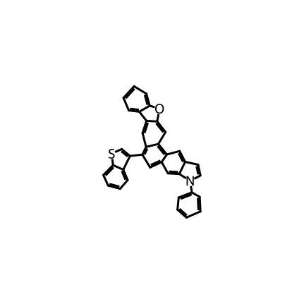 c1ccc(-n2ccc3cc4c(cc(-c5csc6ccccc56)c5cc6c(cc54)oc4ccccc46)cc32)cc1